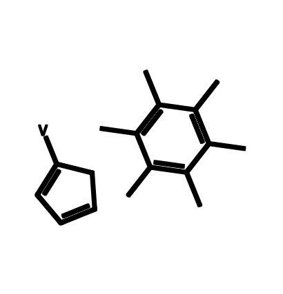 Cc1c(C)c(C)c(C)c(C)c1C.[V][C]1=CC=CC1